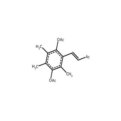 CC(=O)C=Cc1c(C)c(OC(C)=O)c(C)c(C)c1OC(C)=O